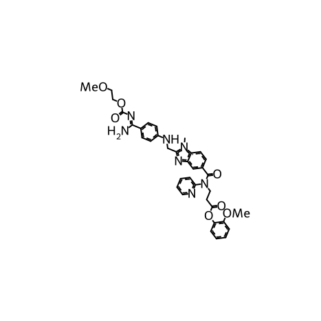 COCCOC(=O)/N=C(\N)c1ccc(NCc2nc3cc(C(=O)N(CCC(=O)Oc4ccccc4OC)c4ccccn4)ccc3n2C)cc1